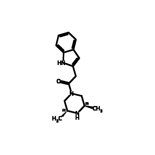 C[C@@H]1CN(C(=O)Cc2cc3ccccc3[nH]2)C[C@@H](C)N1